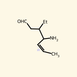 C/C=C\C(N)C(CC)CC=O